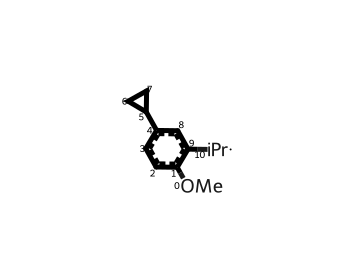 COc1ccc(C2CC2)cc1[C](C)C